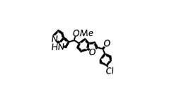 COC(c1ccc2oc(C(=O)c3ccc(Cl)cc3)cc2c1)c1c[nH]c2ncccc12